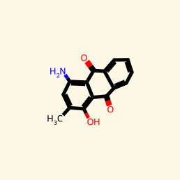 Cc1cc(N)c2c(c1O)C(=O)c1ccccc1C2=O